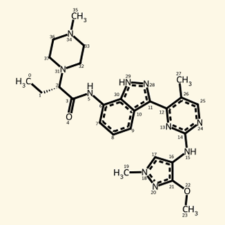 CC[C@@H](C(=O)Nc1cccc2c(-c3nc(Nc4cn(C)nc4OC)ncc3C)n[nH]c12)N1CCN(C)CC1